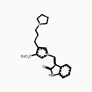 CCOC(=O)c1cn(C=C2C(=O)Nc3ccccc32)cc1CCCN1CCCC1